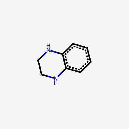 [CH]1CNc2ccccc2N1